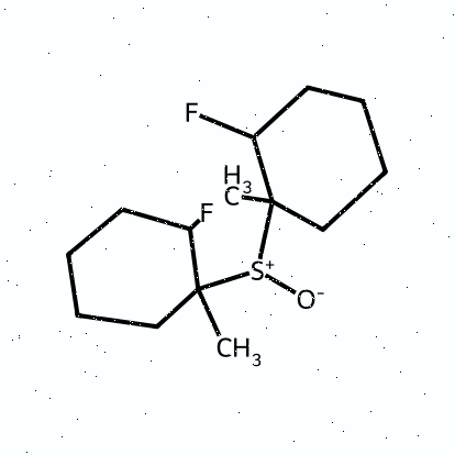 CC1([S+]([O-])C2(C)CCCCC2F)CCCCC1F